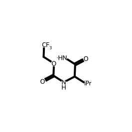 CC(C)C(NC(=O)OCC(F)(F)F)C([NH])=O